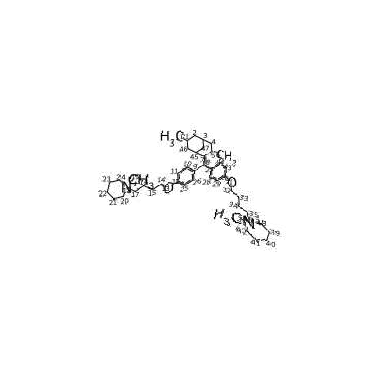 CC1CC2CC(C)C(=C(c3ccc(OCCCC[N+]4(C)CCCCC4)cc3)c3ccc(OCCCC[N+]4(C)CCCCC4)cc3)C(C1)C2